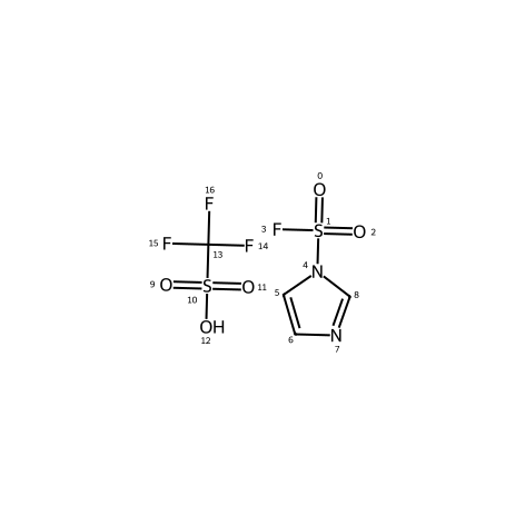 O=S(=O)(F)n1ccnc1.O=S(=O)(O)C(F)(F)F